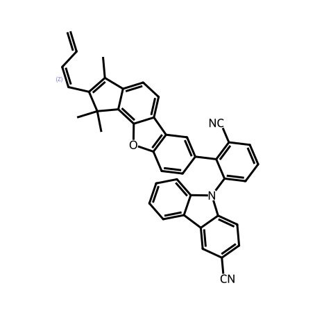 C=C/C=C\C1=C(C)c2ccc3c(oc4ccc(-c5c(C#N)cccc5-n5c6ccccc6c6cc(C#N)ccc65)cc43)c2C1(C)C